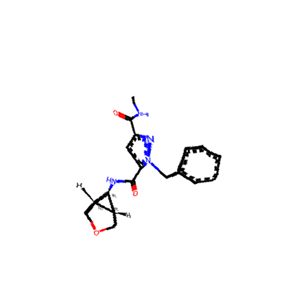 CNC(=O)c1cc(C(=O)N[C@H]2[C@@H]3COC[C@@H]32)n(Cc2ccccc2)n1